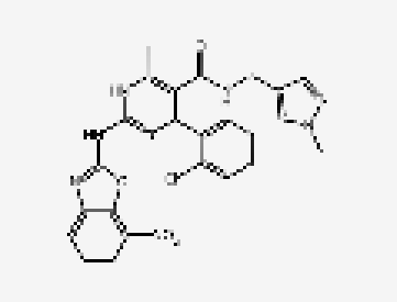 CC1=C(C(=O)NCc2cnn(C)c2)C(c2ccccc2Cl)N=C(Nc2nc3cccc([N+](=O)[O-])c3o2)N1